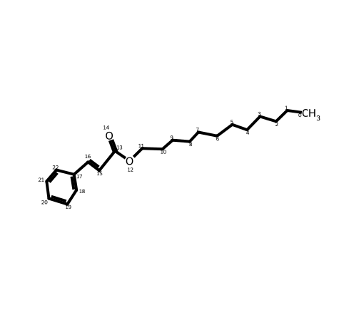 CCCCCCCCCCCCOC(=O)C=Cc1ccccc1